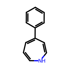 C1=CNC=CC(c2ccccc2)=C1